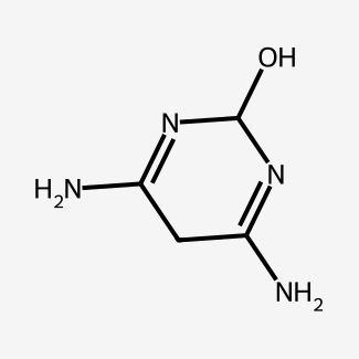 NC1=NC(O)N=C(N)C1